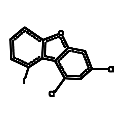 Clc1cc(Cl)c2c(c1)oc1cccc(I)c12